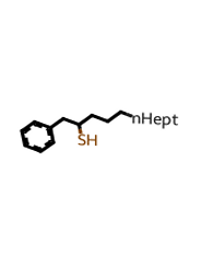 CCCCCCCCCCC(S)Cc1ccccc1